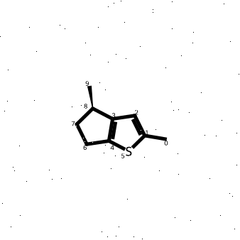 Cc1cc2c(s1)CC[C@H]2C